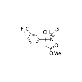 COC(=O)CC(C)(N=C=S)c1cccc(C(F)(F)F)c1